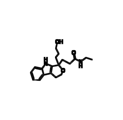 CCNC(=O)CCC1(CCCO)OCCc2c1[nH]c1ccccc21